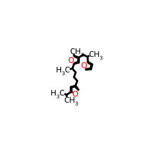 Cc1oc(C(C)CCCc2coc(C(C)C)c2)cc1CC(C)c1ccco1